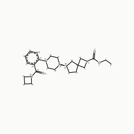 CCOC(=O)N1CC2(CC[C@@H](N3CCN(c4ncccc4C(=O)N4CCC4)CC3)C2)C1